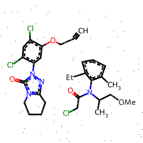 C#CCOc1cc(-n2nc3n(c2=O)CCCC3)c(Cl)cc1Cl.CCc1cccc(C)c1N(C(=O)CCl)C(C)COC